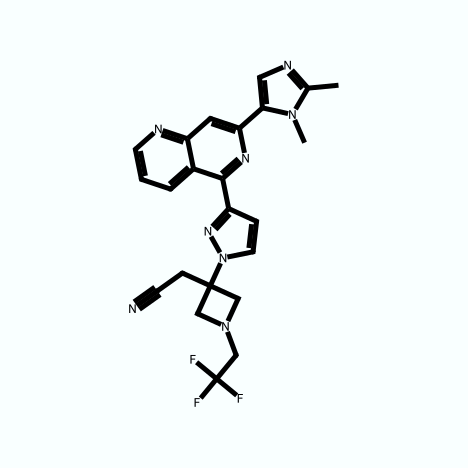 Cc1ncc(-c2cc3ncccc3c(-c3ccn(C4(CC#N)CN(CC(F)(F)F)C4)n3)n2)n1C